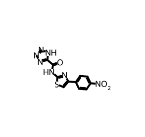 O=C(Nc1nc(-c2ccc([N+](=O)[O-])cc2)cs1)c1nnn[nH]1